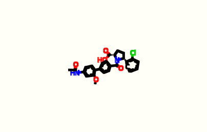 COc1cc(NC(C)=O)ccc1-c1ccc(C(=O)N2[C@@H](c3ccccc3Cl)CC[C@H]2C(=O)O)cc1